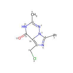 Cc1nn2c(C(C)C)nc(CCl)c2c(=O)[nH]1